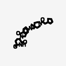 O=C1CCC(N2Cc3cc(N4CC5(CCN(C(=O)CC6CCCC6)CC5)C4)ccc3C2=O)C(=O)N1